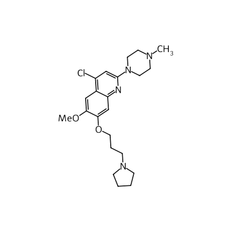 COc1cc2c(Cl)cc(N3CCN(C)CC3)nc2cc1OCCCN1CCCC1